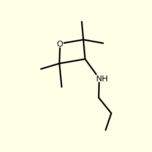 CCCNC1C(C)(C)OC1(C)C